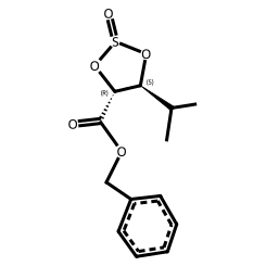 CC(C)[C@@H]1OS(=O)O[C@H]1C(=O)OCc1ccccc1